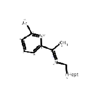 CCCCCCCC/N=C(\C)c1cccc(C(C)=O)n1